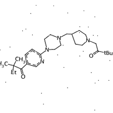 CCC(C)(C)C(=O)c1ccc(N2CCN(CC3CCN(CC(=O)C(C)(C)C)CC3)CC2)nc1